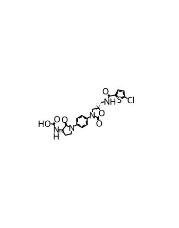 O=C(O)N[C@@H]1CCN(c2ccc(N3C[C@H](CNC(=O)c4ccc(Cl)s4)OC3=O)cc2)C1=O